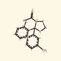 Cc1ccnc(C23OCCN2C(=O)Nc2ccccc23)c1